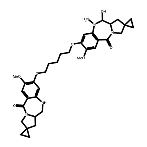 COc1cc2c(cc1OCCCCCOc1cc3c(cc1OC)C(=O)N1CC4(CC4)CC1C(O)N3N)NCC1CC3(CC3)CN1C2=O